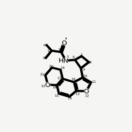 CC(C)C(=O)NC1CCC1c1coc2ccc3c(c12)CCCO3